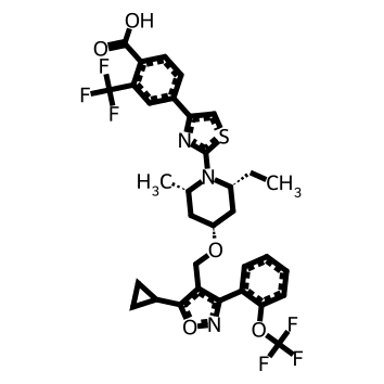 CC[C@@H]1C[C@H](OCc2c(-c3ccccc3OC(F)(F)F)noc2C2CC2)C[C@H](C)N1c1nc(-c2ccc(C(=O)O)c(C(F)(F)F)c2)cs1